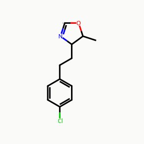 CC1O[C]=NC1CCc1ccc(Cl)cc1